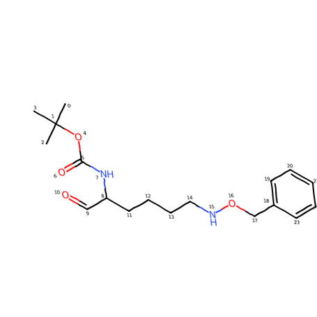 CC(C)(C)OC(=O)NC(C=O)CCCCNOCc1ccccc1